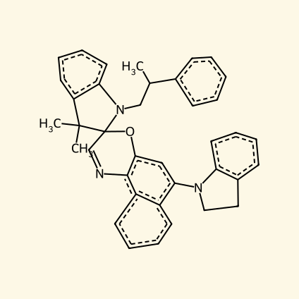 CC(CN1c2ccccc2C(C)(C)C12C=Nc1c(cc(N3CCc4ccccc43)c3ccccc13)O2)c1ccccc1